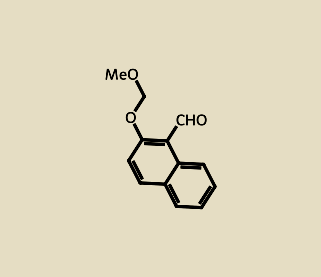 COCOc1ccc2ccccc2c1C=O